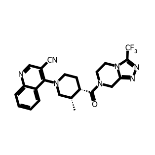 C[C@@H]1CN(c2c(C#N)cnc3ccccc23)CC[C@@H]1C(=O)N1CCn2c(nnc2C(F)(F)F)C1